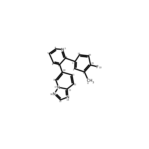 Cc1cc(-c2ncccc2-c2ccc3ncnn3c2)ccc1F